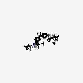 CCn1nc(C)cc1C(=O)Nc1ccc(C(=O)c2ccc3c(c2)NC(=O)/C3=C\NC2=NCC(C)=C2)cc1